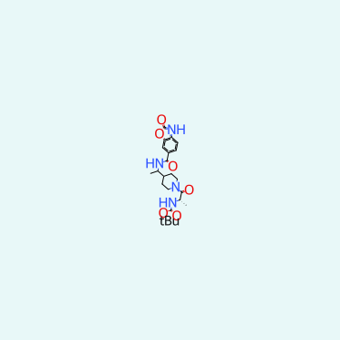 CC(NC(=O)c1ccc2[nH]c(=O)oc2c1)C1CCN(C(=O)[C@H](C)NC(=O)OC(C)(C)C)CC1